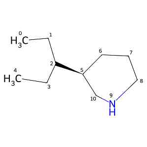 CCC(CC)[C@H]1CCCNC1